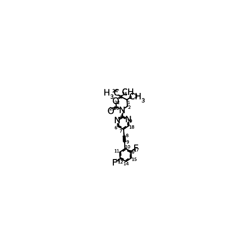 CC1CN(c2ncc(C#Cc3cc(F)ccc3F)cn2)C(=O)OC1(C)C